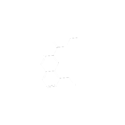 CCOC(=O)c1cc2c(CC)cncc2cn1